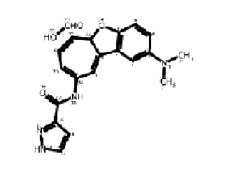 CN(C)c1ccc2c(c1)C1=CC(NC(=O)c3cc[nH]n3)=CC=CC1O2.O=CO